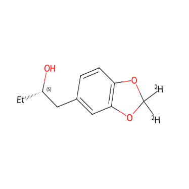 [2H]C1([2H])Oc2ccc(C[C@@H](O)CC)cc2O1